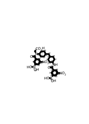 O=C(O)CN(C(=O)c1cc(B(O)O)cc([N+](=O)[O-])c1)C1CCC(CC2CCC(NC(=O)c3cc(B(O)O)cc([N+](=O)[O-])c3)CC2)CC1